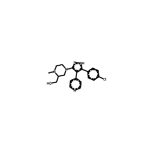 CN1CCN(c2n[nH]c(-c3ccc(Cl)cc3)c2-c2ccncc2)CC1CO